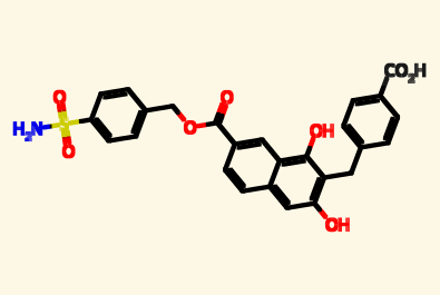 NS(=O)(=O)c1ccc(COC(=O)c2ccc3cc(O)c(Cc4ccc(C(=O)O)cc4)c(O)c3c2)cc1